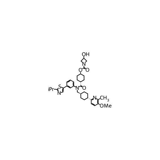 COc1ccc([C@H]2CC[C@H](CN(c3cccc(-c4cnc(C(C)C)s4)c3)C(=O)[C@H]3CC[C@H](OC(=O)N4CC(O)C4)CC3)CC2)nc1C